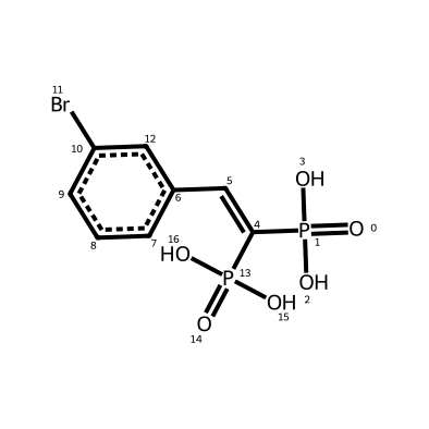 O=P(O)(O)C(=Cc1cccc(Br)c1)P(=O)(O)O